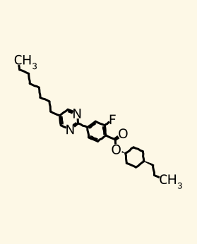 CCCCCCCCc1cnc(-c2ccc(C(=O)O[C@H]3CC[C@H](CCC)CC3)c(F)c2)nc1